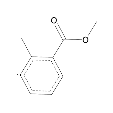 COC(=O)c1ccc[c]c1C